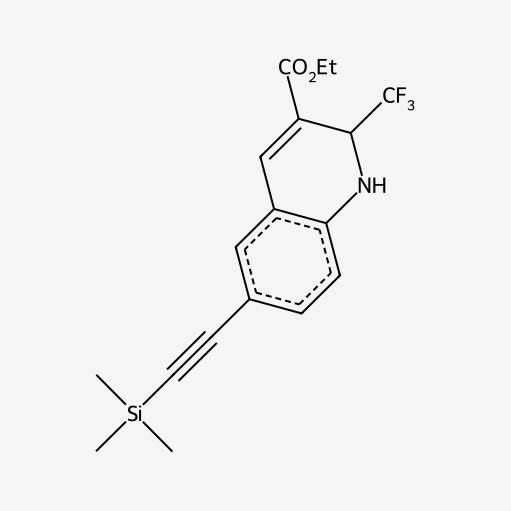 CCOC(=O)C1=Cc2cc(C#C[Si](C)(C)C)ccc2NC1C(F)(F)F